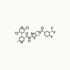 COc1cnc(Cl)cc1-c1cc(C)ncc1C(=O)Nc1nc2c(s1)CN(C(=O)c1ccc(F)c(C(F)F)c1)C2